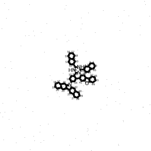 c1ccc2cc(C3=NC(c4ccc(-n5c6cc7ccccc7cc6c6cc7ccccc7cc65)cc4-c4ccc5c(c4)oc4ccccc45)NC(c4ccc5ccccc5c4)N3)ccc2c1